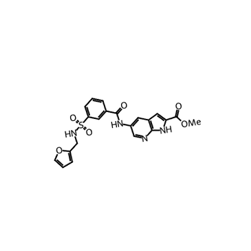 COC(=O)c1cc2cc(NC(=O)c3cccc(S(=O)(=O)NCc4ccco4)c3)cnc2[nH]1